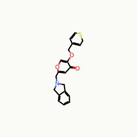 O=c1cc(CN2Cc3ccccc3C2)occ1OCC1=CCSC=C1